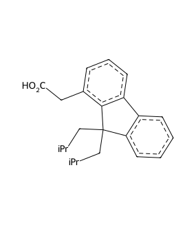 CC(C)CC1(CC(C)C)c2ccccc2-c2cccc(CC(=O)O)c21